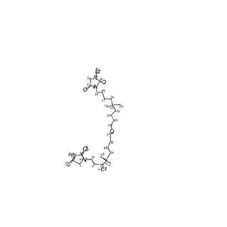 CCC(CCN1CC(=O)NC1=O)C(C)(C)CCCCOCCCCC(C)(C)CCCCN1C(=O)CN(CC)C1=O